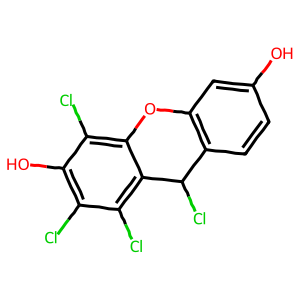 Oc1ccc2c(c1)Oc1c(Cl)c(O)c(Cl)c(Cl)c1C2Cl